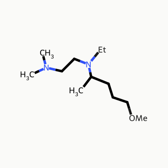 CCN(CCN(C)C)C(C)CCCOC